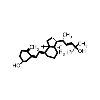 C=C1CC[C@H](O)C/C1=C/C=C1\CCC[C@]2(C)[C@@H]([C@H](C)/C=C/[C@@](C)(O)C(C)C)CC[C@@H]12